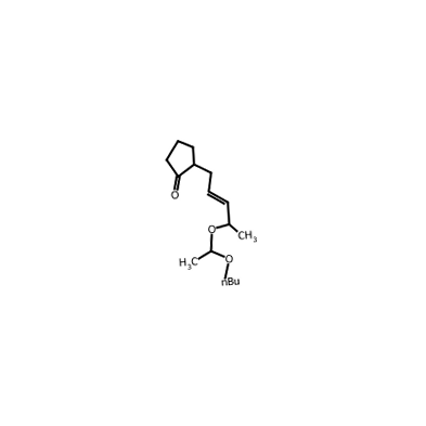 CCCCOC(C)OC(C)C=CCC1CCCC1=O